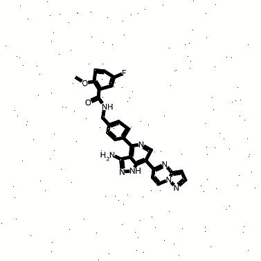 COc1ccc(F)cc1C(=O)NCc1ccc(-c2ncc(-c3ccn4nccc4n3)c3[nH]nc(N)c23)cc1